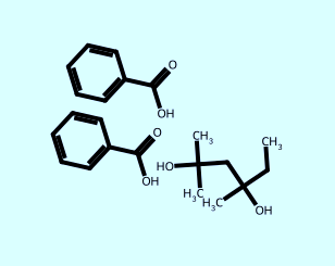 CCC(C)(O)CC(C)(C)O.O=C(O)c1ccccc1.O=C(O)c1ccccc1